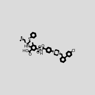 Cc1cc(S(=O)(=O)NC(=O)c2ccc(N3CCN(Cc4ccccc4-c4ccc(Cl)cc4)CC3)cc2)cc(C(=O)O)c1N[C@H](CCN(C)C)CSc1ccccc1